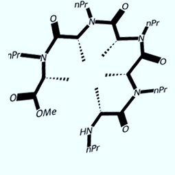 CCCN[C@H](C)C(=O)N(CCC)[C@H](C)C(=O)N(CCC)[C@H](C)C(=O)N(CCC)[C@H](C)C(=O)N(CCC)[C@H](C)C(=O)OC